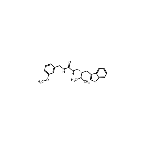 COc1cccc(CNC(=O)NC[C@H](Cc2csc3ccccc23)N(C)C)c1